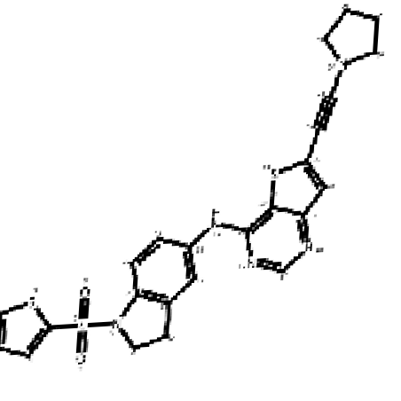 O=S(=O)(c1cccs1)N1CCc2cc(Nc3ncnc4cc(C#CN5CCCC5)sc34)ccc21